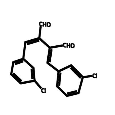 O=CC(=Cc1cccc(Cl)c1)C(C=O)=Cc1cccc(Cl)c1